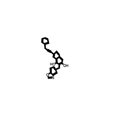 Oc1cc2ccc(C#CCc3ccccc3)cc2c(O)c1Cc1ccc2ocnc2c1